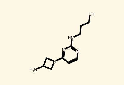 NC1CN(c2ccnc(NCCCO)n2)C1